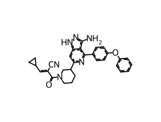 N#C/C(=C\C1CC1)C(=O)N1CCCC(c2cc3[nH]nc(N)c3c(-c3ccc(Oc4ccccc4)cc3)n2)C1